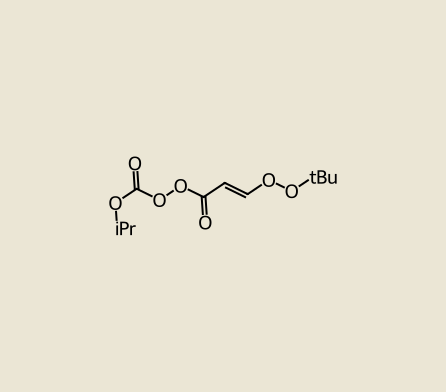 CC(C)OC(=O)OOC(=O)C=COOC(C)(C)C